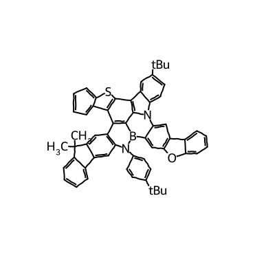 CC(C)(C)c1ccc(N2B3c4cc5oc6ccccc6c5cc4-n4c5ccc(C(C)(C)C)cc5c5c6sc7ccccc7c6c(c3c54)-c3cc4c(cc32)-c2ccccc2C4(C)C)cc1